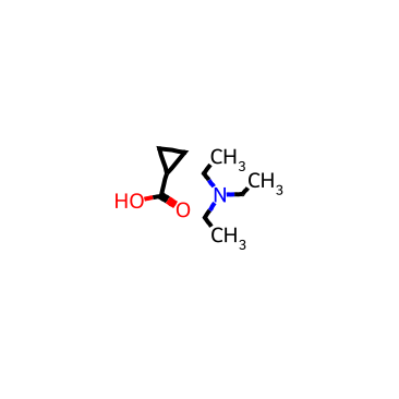 CCN(CC)CC.O=C(O)C1CC1